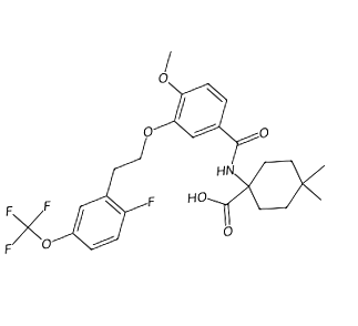 COc1ccc(C(=O)NC2(C(=O)O)CCC(C)(C)CC2)cc1OCCc1cc(OC(F)(F)F)ccc1F